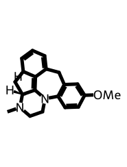 COc1ccc2c(c1)CC1=CC=C[C@@H]3C[C@@H]4C(=C13)N2CCN4C